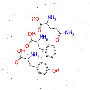 NC(=O)CCC(N)C(=O)O.NC(Cc1ccc(O)cc1)C(=O)O.NC(Cc1ccccc1)C(=O)O